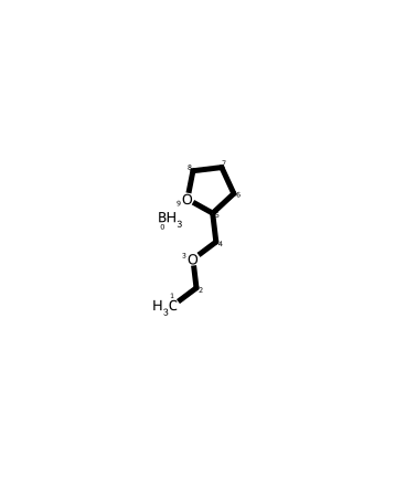 B.CCOCC1CCCO1